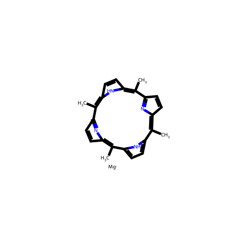 Cc1c2nc(c(C)c3ccc([nH]3)c(C)c3nc(c(C)c4ccc1[nH]4)C=C3)C=C2.[Mg]